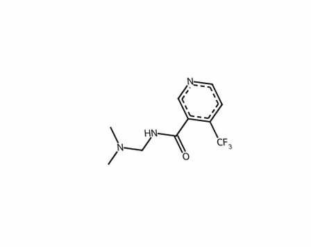 CN(C)CNC(=O)c1cnccc1C(F)(F)F